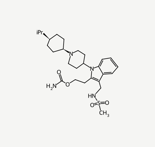 CC(C)[C@H]1CC[C@@H](N2CCC(n3c(CCOC(N)=O)c(CNS(C)(=O)=O)c4ccccc43)CC2)CC1